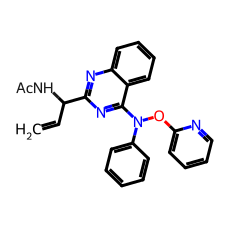 C=CC(NC(C)=O)c1nc(N(Oc2ccccn2)c2ccccc2)c2ccccc2n1